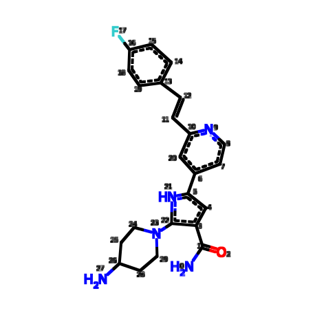 NC(=O)c1cc(-c2ccnc(C=Cc3ccc(F)cc3)c2)[nH]c1N1CCC(N)CC1